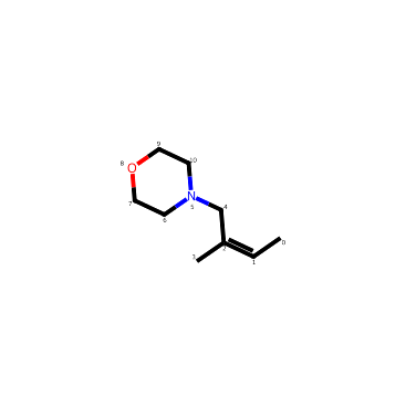 C/C=C(/C)CN1CCOCC1